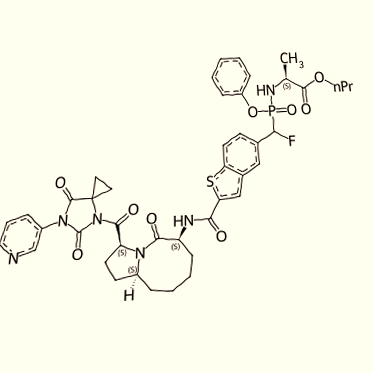 CCCOC(=O)[C@H](C)NP(=O)(Oc1ccccc1)C(F)c1ccc2sc(C(=O)N[C@H]3CCCC[C@H]4CC[C@@H](C(=O)N5C(=O)N(c6cccnc6)C(=O)C56CC6)N4C3=O)cc2c1